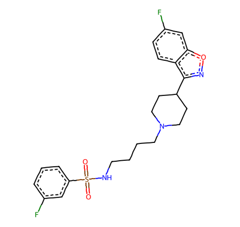 O=S(=O)(NCCCCN1CCC(c2noc3cc(F)ccc23)CC1)c1cccc(F)c1